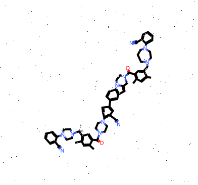 Cc1cc(C)c(C(=O)N2CCn3c(cc4cc(-c5ccc(N6CCN(C(=O)c7cc([C@@H](C)N8CCN(c9ccccc9C#N)CC8)c(C)cc7C)CC6)c(C#N)c5)ccc43)C2)cc1CN1CCCN(c2ccccc2C#N)CC1